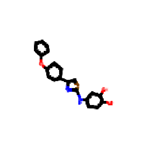 Oc1ccc(Nc2nc(-c3ccc(Oc4ccccc4)cc3)cs2)cc1O